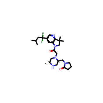 CC(C)CC(F)(F)c1cnc2c(c1)N(C(=O)CN1C[C@@H](C)NC[C@@H]1CN1CCCC1=O)CC2(C)C